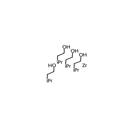 CC(C)CCO.CC(C)CCO.CC(C)CCO.CC(C)CCO.[Zr]